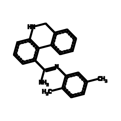 Cc1ccc(C)c(N=C(N)c2cccc3c2-c2ccccc2CN3)c1